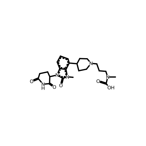 CN(CCCN1CCC(c2cccc3c2n(C)c(=O)n3C2CCC(=O)NC2=O)CC1)C(=O)O